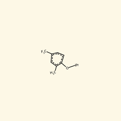 Cc1cc(C(F)(F)F)ccc1OC(C)C